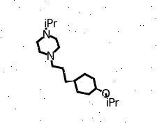 CC(C)O[C@H]1CC[C@@H](CCCN2CCN(C(C)C)CC2)CC1